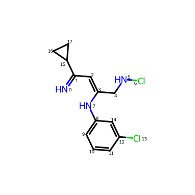 N=C(/C=C(/CNCl)Nc1cccc(Cl)c1)C1CC1